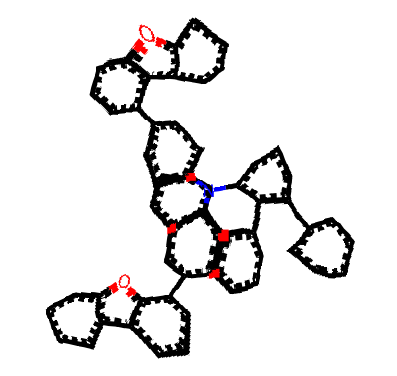 c1ccc(-c2ccccc2-c2c(-c3ccccc3)cccc2N(c2ccc(-c3cccc4c3oc3ccccc34)cc2)c2ccc(-c3cccc4oc5ccccc5c34)cc2)cc1